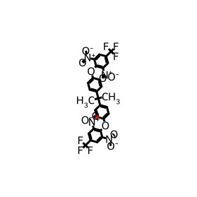 CC(C)(c1ccc(Oc2c([N+](=O)[O-])cc(C(F)(F)F)cc2[N+](=O)[O-])cc1)c1ccc(Oc2c([N+](=O)[O-])cc(C(F)(F)F)cc2[N+](=O)[O-])cc1